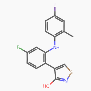 Cc1cc(I)ccc1Nc1cc(F)ccc1-c1csnc1O